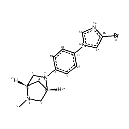 CN1C[C@@H]2C[C@H]1CN2c1ccc(-n2cnc(Br)c2)cc1